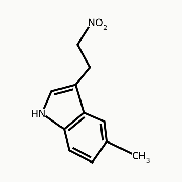 Cc1ccc2[nH]cc(CC[N+](=O)[O-])c2c1